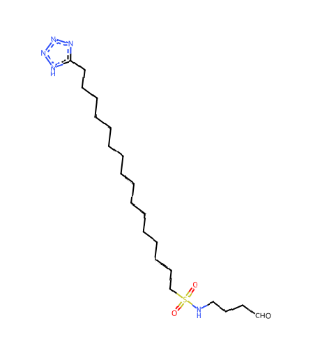 O=CCCCNS(=O)(=O)CCCCCCCCCCCCCCCCc1nnn[nH]1